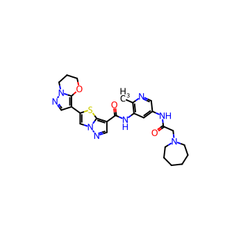 Cc1ncc(NC(=O)CN2CCCCCC2)cc1NC(=O)c1cnn2cc(-c3cnn4c3OCCC4)sc12